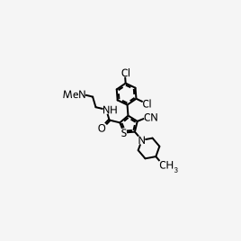 CNCCNC(=O)c1sc(N2CCC(C)CC2)c(C#N)c1-c1ccc(Cl)cc1Cl